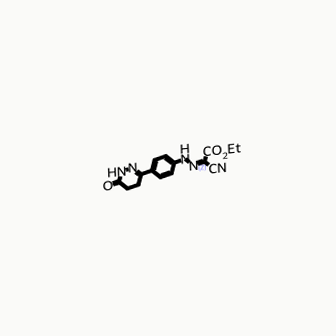 CCOC(=O)/C(C#N)=N\Nc1ccc(C2=NNC(=O)CC2)cc1